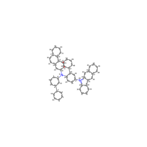 c1ccc(-c2cccc(N(c3ccc4c(ccc5ccccc54)c3)c3ccc(-n4c5ccccc5c5cc6ccccc6cc54)cc3-c3ccccc3)c2)cc1